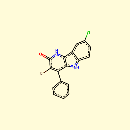 O=c1[nH]c2c([nH]c3ccc(Cl)cc32)c(-c2ccccc2)c1Br